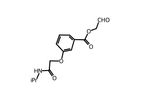 CC(C)NC(=O)COc1cccc(C(=O)OCC=O)c1